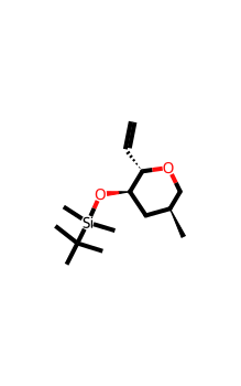 C=C[C@@H]1OC[C@@H](C)C[C@H]1O[Si](C)(C)C(C)(C)C